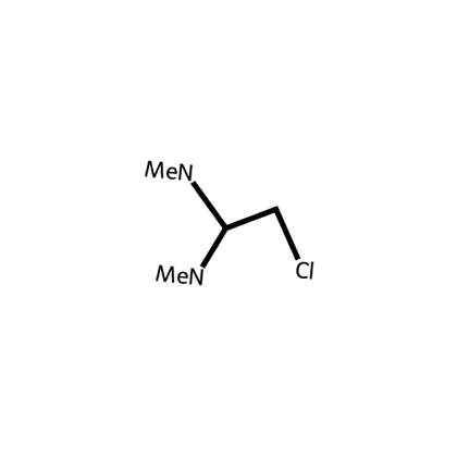 CNC(CCl)NC